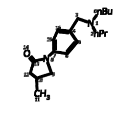 CCCCN(CCC)Cc1ccc(N2CC(C)CC2=O)cc1